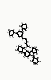 N/C(=C\C=C/Cc1cc(C2=CCCC=C2)cc(-c2ccccc2)c1)n1c2ccccc2c2ccc3c(c4ccccc4n3-c3ccccc3)c21